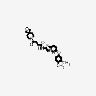 Cc1ccc(Oc2ccc3nc(NC(=O)CCC(=O)N4CCC5(CC4)COC5)cn3n2)cc1C